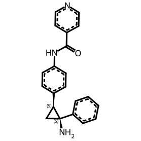 N[C@@]1(c2ccccc2)C[C@H]1c1ccc(NC(=O)c2ccncc2)cc1